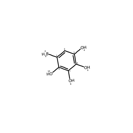 Bc1cc(O)c(O)c(O)c1O